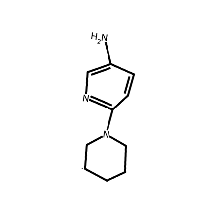 Nc1ccc(N2C[CH]CCC2)nc1